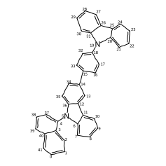 c1ccc2c(-n3c4ccccc4c4cc(-c5ccc(-n6c7ccccc7c7ccccc76)cc5)ccc43)cccc2c1